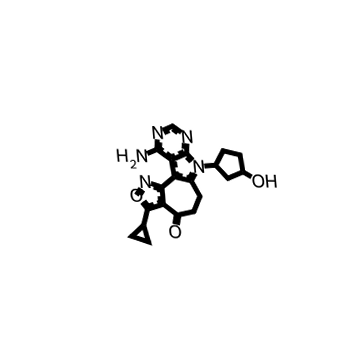 Nc1ncnc2c1c1c(n2C2CCC(O)C2)CCC(=O)c2c-1noc2C1CC1